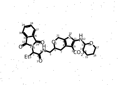 CCC(C(=O)NCC1Cc2c(sc(NC3CCCCO3)c2C(=O)O)CO1)N1C(=O)c2ccccc2C1=O